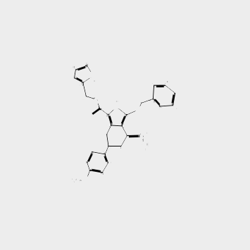 COc1ccc(C2CC(=NO)c3c(SCc4ccccc4)sc(C(=O)NCc4ccco4)c3C2)cc1